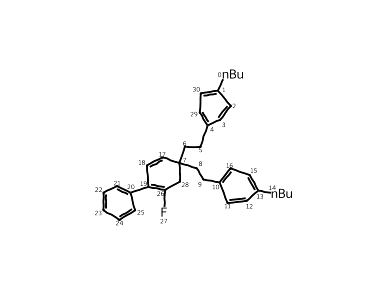 CCCCc1ccc(CCC2(CCc3ccc(CCCC)cc3)C=CC(c3ccccc3)=C(F)C2)cc1